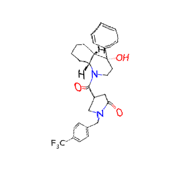 O=C1CC(C(=O)N2CC[C@](O)(c3ccccc3)[C@H]3CCCC[C@H]32)CN1Cc1ccc(C(F)(F)F)cc1